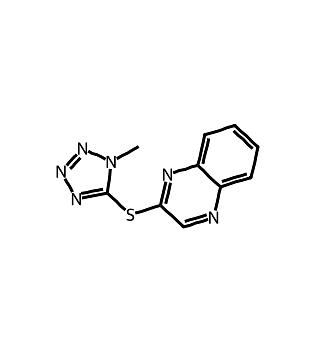 Cn1nnnc1Sc1cnc2ccccc2n1